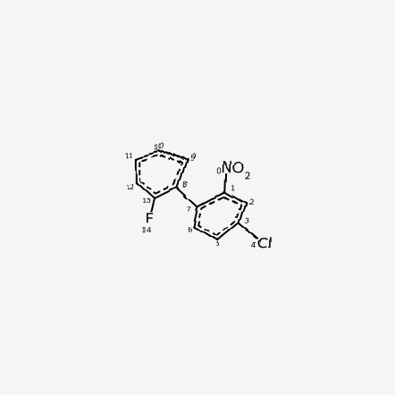 O=[N+]([O-])c1cc(Cl)ccc1-c1ccccc1F